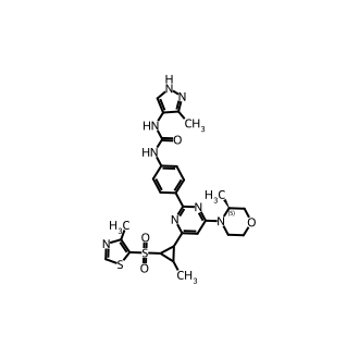 Cc1n[nH]cc1NC(=O)Nc1ccc(-c2nc(C3C(C)C3S(=O)(=O)c3scnc3C)cc(N3CCOC[C@@H]3C)n2)cc1